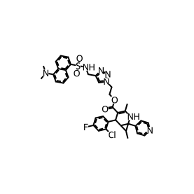 CC1=C(C(=O)OCCn2cc(CNS(=O)(=O)c3cccc4c(N(C)C)cccc34)nn2)C(c2ccc(F)cc2Cl)C2C(C)C2(c2ccncc2)N1